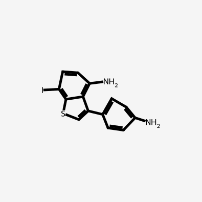 Nc1ccc(-c2csc3c(I)ccc(N)c23)cc1